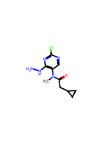 CN(C(=O)CC1CC1)c1cnc(Cl)nc1NN